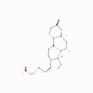 C[C@H](CCC(=O)O)[C@H]1CC[C@H]2[C@@H]3[C@H](O)C[C@@H]4CC(=O)CC[C@]4(C)[C@H]3CC[C@]12C